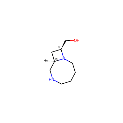 OC[C@@H]1C[C@@H]2CNCCCCN12